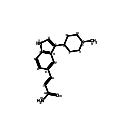 CN1CCC(c2c[nH]c3ccc(C=CC(N)=O)cc23)CC1